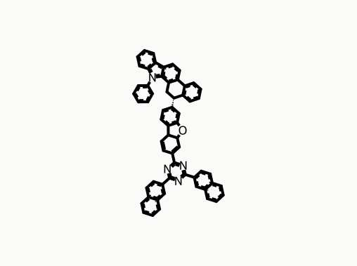 C1=CC2c3ccc([C@@H]4Cc5c(ccc6c7ccccc7n(-c7ccccc7)c56)-c5ccccc54)cc3OC2C=C1c1nc(-c2ccc3ccccc3c2)nc(-c2ccc3ccccc3c2)n1